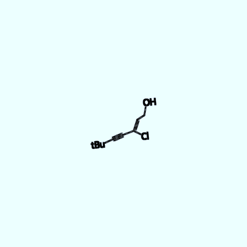 CC(C)(C)C#C/C(Cl)=C/CO